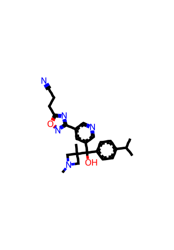 CC(C)c1ccc(C(O)(c2cncc(-c3noc(CCC#N)n3)c2)C2(C)CN(C)C2)cc1